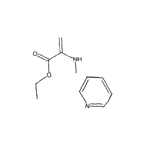 C=C(NC)C(=O)OCC.c1ccncc1